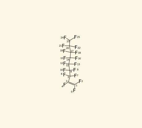 FC(F)=C(F)C(F)(F)C(F)(F)C(F)(F)C(F)(F)C(F)(F)C(F)(F)C(F)F